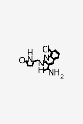 CC(N)c1cc2cccc(Cl)c2nc1NCC1CCC(=O)N1